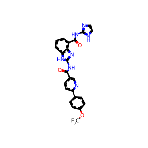 O=C(Nc1nc2c(C(=O)Nc3ncc[nH]3)cccc2[nH]1)c1ccc(-c2ccc(OC(F)(F)F)cc2)nc1